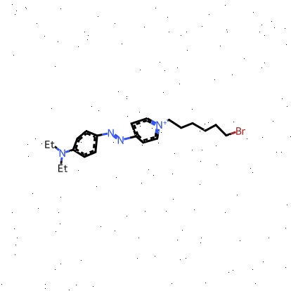 CCN(CC)c1ccc(/N=N/c2cc[n+](CCCCCCBr)cc2)cc1